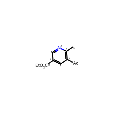 CCOC(=O)c1cnc(C)c(C(C)=O)c1